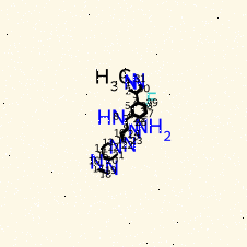 Cn1cc(-c2cc(C(=N)c3cc(N4CCc5nccnc5C4)ncn3)c(N)cc2F)cn1